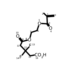 C=C(C)C(=O)OCCOC(=O)CC(F)(F)CC(=O)O